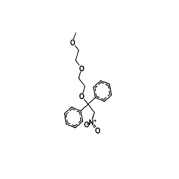 COCCOCCOC(C[N+](=O)[O-])(c1ccccc1)c1ccccc1